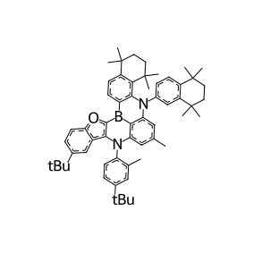 Cc1cc2c3c(c1)N(c1ccc(C(C)(C)C)cc1C)c1c(oc4ccc(C(C)(C)C)cc14)B3c1ccc3c(c1N2c1ccc2c(c1)C(C)(C)CCC2(C)C)C(C)(C)CCC3(C)C